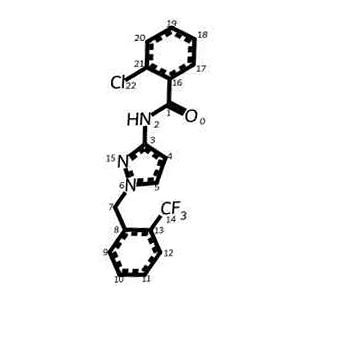 O=C(Nc1ccn(Cc2ccccc2C(F)(F)F)n1)c1ccccc1Cl